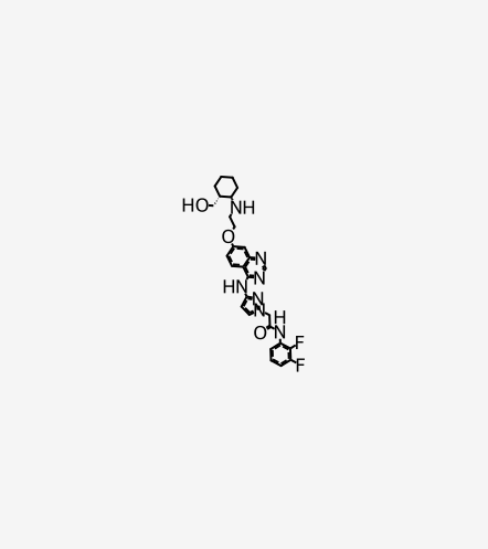 O=C(Cn1ccc(Nc2ncnc3cc(OCCN[C@@H]4CCCC[C@H]4CO)ccc23)n1)Nc1cccc(F)c1F